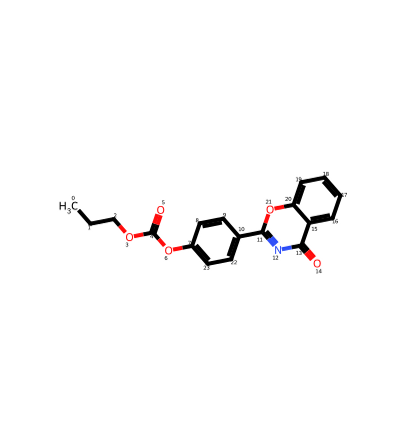 CCCOC(=O)Oc1ccc(-c2nc(=O)c3ccccc3o2)cc1